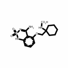 NC1=NS(=O)(=O)Nc2cccc(OCC3(NC(=O)O)CCCCC3)c21